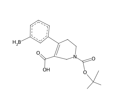 Bc1cccc(C2=C(C(=O)O)CN(C(=O)OC(C)(C)C)CC2)c1